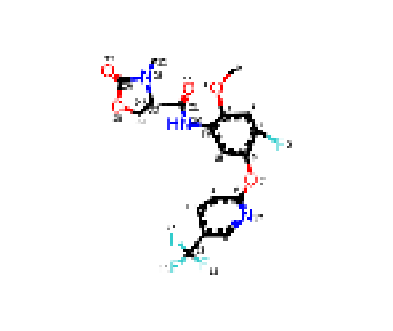 COc1cc(F)c(Oc2ccc(C(F)(F)F)cn2)cc1NC(=O)[C@H]1COC(=O)N1C